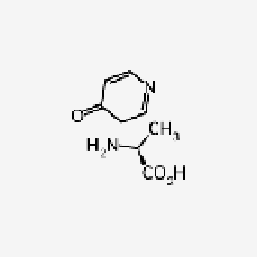 C[C@H](N)C(=O)O.O=C1C=CN=CC1